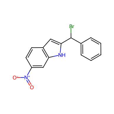 O=[N+]([O-])c1ccc2cc(C(Br)c3ccccc3)[nH]c2c1